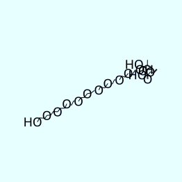 C=C(C)C(=O)O.C=COC(=O)O.OCCOCCOCCOCCOCCOCCOCCOCCOCCOCCO